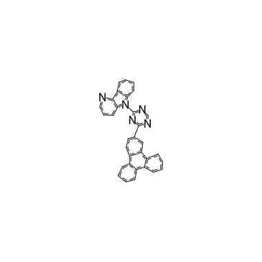 c1ccc2c(c1)c1ccccc1c1cc(-c3ncnc(-n4c5ccccc5c5ncccc54)n3)ccc21